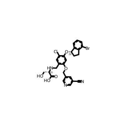 N#Cc1cncc(COc2cc(O[C@H]3CCc4c(Br)cccc43)c(Cl)cc2CN[C@@H](CO)C(=O)O)c1